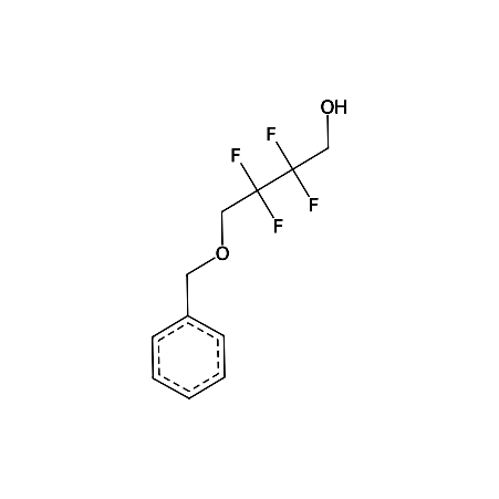 OCC(F)(F)C(F)(F)COCc1ccccc1